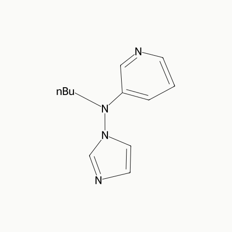 CCCCN(c1cccnc1)n1ccnc1